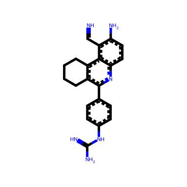 N=Cc1c(N)ccc2nc(-c3ccc(NC(=N)N)cc3)c3c(c12)CCCC3